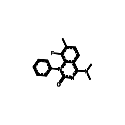 Cc1ccc2c(N(C)C)nc(=O)n(-c3ccccc3)c2c1F